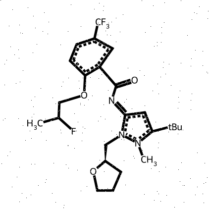 CC(F)COc1ccc(C(F)(F)F)cc1C(=O)N=c1cc(C(C)(C)C)n(C)n1C[C@H]1CCCO1